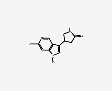 CC(C)n1cc(C2CNC(=O)C2)c2cnc(Br)cc21